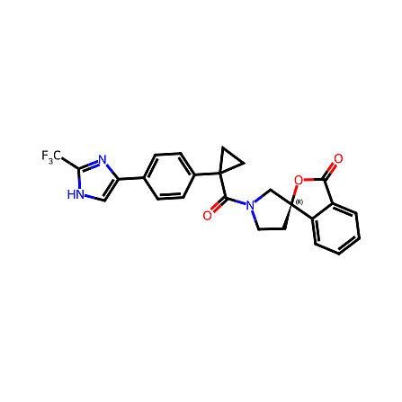 O=C1O[C@]2(CCN(C(=O)C3(c4ccc(-c5c[nH]c(C(F)(F)F)n5)cc4)CC3)C2)c2ccccc21